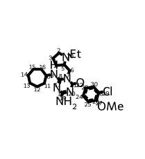 CCN1CCCC1CN1C(NC2CCCCCC2)=NC(N)=NC1Oc1ccc(OC)c(Cl)c1